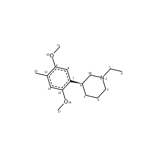 CCN1CCC[C@@H](c2cc(OC)c(C)cc2OC)C1